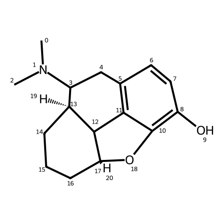 CN(C)C1Cc2ccc(O)c3c2C2[C@H]1CCC[C@@H]2O3